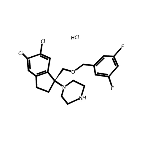 Cl.Fc1cc(F)cc(COC[C@@]2(N3CCNCC3)CCc3cc(Cl)c(Cl)cc32)c1